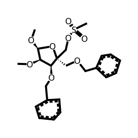 CO[C@H]1O[C@@](COCc2ccccc2)(COS(C)(=O)=O)[C@@H](OCc2ccccc2)[C@H]1OC